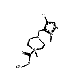 Cn1ncc(Br)c1CN1CC[N+](C)(C(=O)OC(C)(C)C)CC1